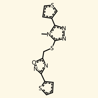 Cn1c(SCc2nc(-c3cccs3)no2)nnc1-c1ccsc1